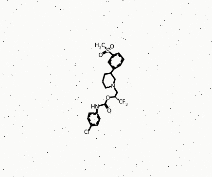 CS(=O)(=O)c1cccc(C2CCCN(C[C@H](OC(=O)Nc3ccc(Cl)cc3)C(F)(F)F)C2)c1